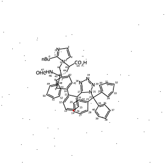 CCCCC1=NC=C[N+]1(Cc1ccc(-c2ccccc2-c2nnnn2C(c2ccccc2)(c2ccccc2)c2ccccc2)cc1)C(C[C@@H](NC=O)c1ccccc1)C(=O)O